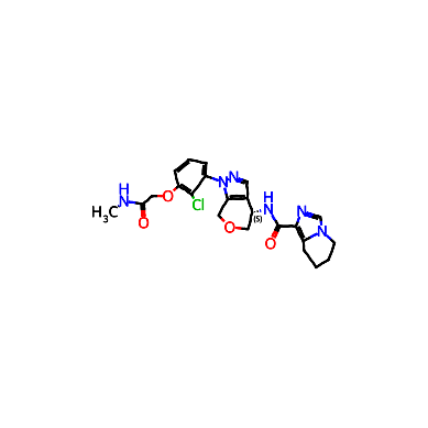 CNC(=O)COc1cccc(-n2ncc3c2COC[C@H]3NC(=O)c2ncn3c2CCCC3)c1Cl